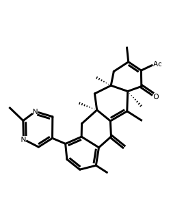 C=C1C2=C(C)[C@]3(C)C(=O)C(C(C)=O)=C(C)C[C@]3(C)C[C@]2(C)Cc2c(-c3cnc(C)nc3)ccc(C)c21